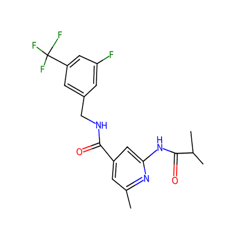 Cc1cc(C(=O)NCc2cc(F)cc(C(F)(F)F)c2)cc(NC(=O)C(C)C)n1